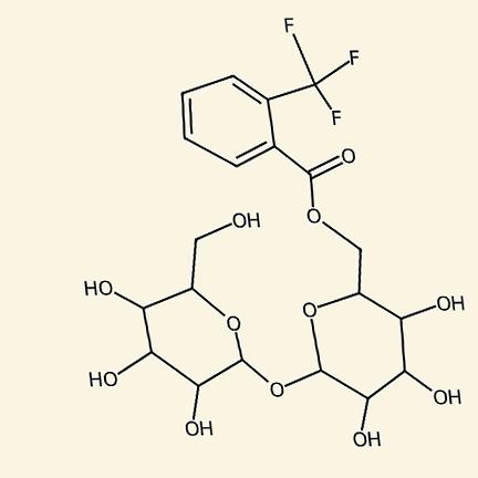 O=C(OCC1OC(OC2OC(CO)C(O)C(O)C2O)C(O)C(O)C1O)c1ccccc1C(F)(F)F